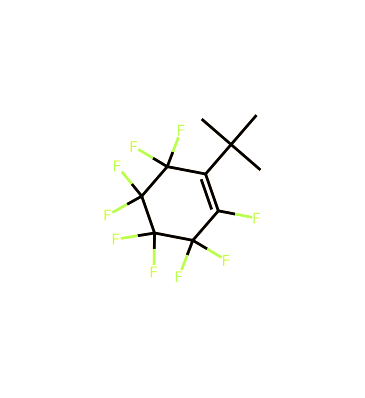 CC(C)(C)C1=C(F)C(F)(F)C(F)(F)C(F)(F)C1(F)F